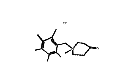 Cc1c(C)c(C)c(C[N+]2(C)CCC(=O)CC2)c(C)c1C.[Cl-]